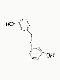 Oc1cccc(CCc2cccc(O)c2)c1